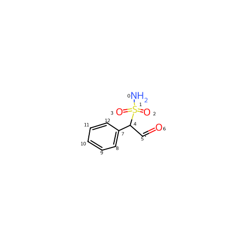 NS(=O)(=O)C([C]=O)c1ccccc1